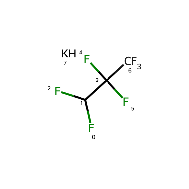 FC(F)C(F)(F)C(F)(F)F.[KH]